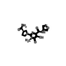 Cn1c(N2CC[C@@H](C(N)=O)C2)nc(C(=O)Nc2cnoc2)c(O)c1=O